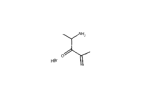 Br.C=C(C)C(=O)C(C)N